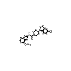 COc1ncnc2sc(NC(=O)N3CCC(N4CCc5cc(Cl)ccc54)CC3)nc12